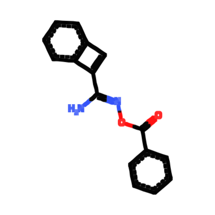 NC(=NOC(=O)c1ccccc1)C1=Cc2ccccc21